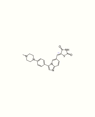 CN1CCN(c2ccc(-c3cnc4ccc(/C=C5\SC(=O)NC5=O)cn34)cc2)CC1